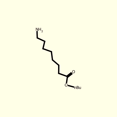 CCCCOC(=O)CCCCCCCN